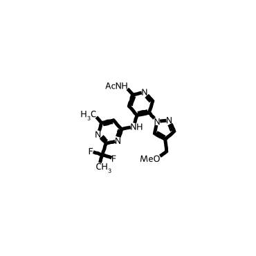 COCc1cnn(-c2cnc(NC(C)=O)cc2Nc2cc(C)nc(C(C)(F)F)n2)c1